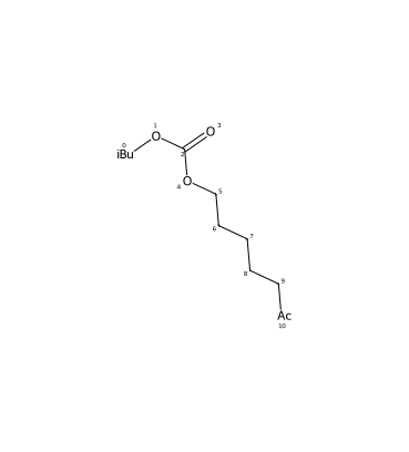 CCC(C)OC(=O)OCCCCCC(C)=O